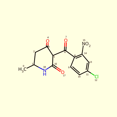 CC1CC(=O)C(C(=O)c2ccc(Cl)cc2[N+](=O)[O-])C(=O)N1